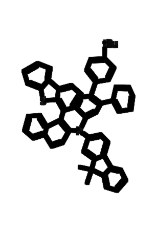 CC(C)(C)c1ccc(-c2ccc(N(c3ccc4c(c3)C(C)(C)c3ccccc3-4)c3ccc4ccccc4c3-c3cccc4c3sc3ccccc34)cc2-c2ccccc2)cc1